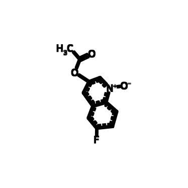 CC(=O)Oc1cc2cc(F)ccc2[n+]([O-])c1